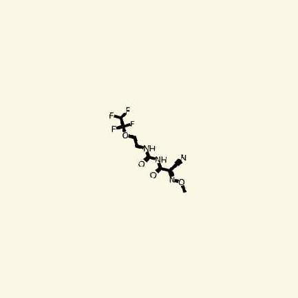 CO/N=C(\C#N)C(=O)NC(=O)NCCOC(F)(F)C(F)F